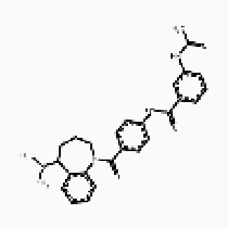 CC(=O)Nc1cccc(C(=O)Nc2ccc(C(=O)N3CCCC(N(C)C)c4ccccc43)cc2)c1